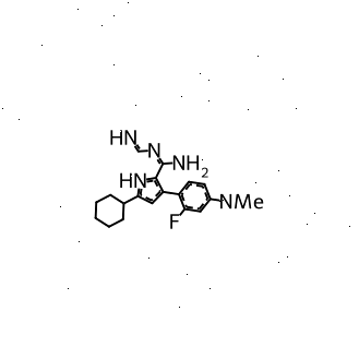 CNc1ccc(-c2cc(C3CCCCC3)[nH]c2/C(N)=N\C=N)c(F)c1